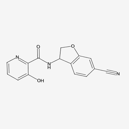 N#Cc1ccc2c(c1)OCC2NC(=O)c1ncccc1O